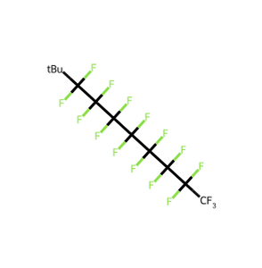 CC(C)(C)C(F)(F)C(F)(F)C(F)(F)C(F)(F)C(F)(F)C(F)(F)C(F)(F)C(F)(F)F